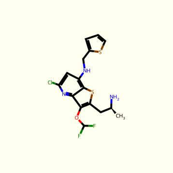 C[C@H](N)Cc1sc2c(NCc3cccs3)cc(Cl)nc2c1OC(F)F